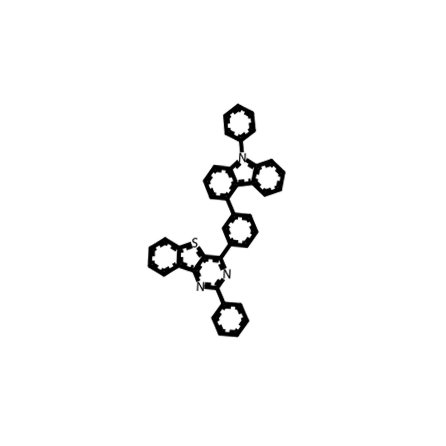 c1ccc(-c2nc(-c3cccc(-c4cccc5c4c4ccccc4n5-c4ccccc4)c3)c3sc4ccccc4c3n2)cc1